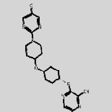 N#Cc1nccnc1O[C@H]1CC[C@H](OC2CCN(c3ncc(Cl)cn3)CC2)CC1